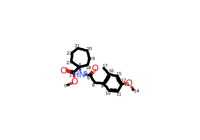 COC(=O)C1(NC(=O)Cc2ccc(OC)cc2C)CCCCCC1